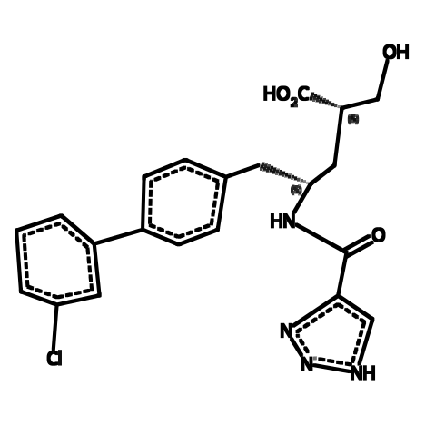 O=C(N[C@H](Cc1ccc(-c2cccc(Cl)c2)cc1)C[C@@H](CO)C(=O)O)c1c[nH]nn1